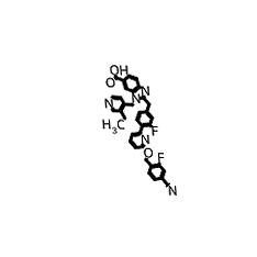 CCc1cnccc1Cn1c(Cc2ccc(-c3cccc(OCc4ccc(C#N)cc4F)n3)c(F)c2)nc2ccc(C(=O)O)cc21